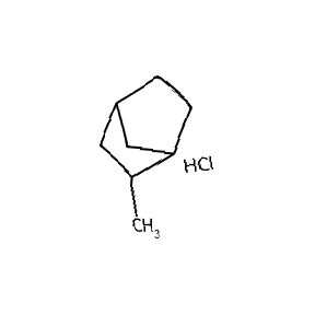 CC1CC2CCC1C2.Cl